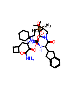 CC1(C)[C@@H]2[C@@H](C(=O)NC(CC3CCC3)C(=O)C(N)=O)N(C(=O)[C@@H](NC(=O)NC3(CCS(=O)(=O)C(C)(C)C)CCCCC3)C3Cc4ccccc4C3)C[C@@H]21